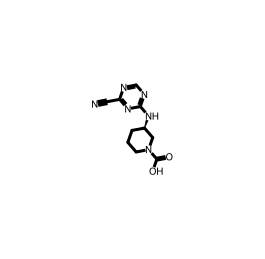 N#Cc1ncnc(N[C@@H]2CCCN(C(=O)O)C2)n1